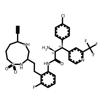 C#CC1CCCS(=O)(=O)NC(CCc2c(F)cccc2NC(=O)[C@@H](N)[C@@H](c2ccc(Cl)cc2)c2ccnc(C(F)(F)F)c2)CN1